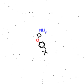 CC(C)(C)Cc1ccc(O[C@H]2C[C@@H](N)C2)cc1